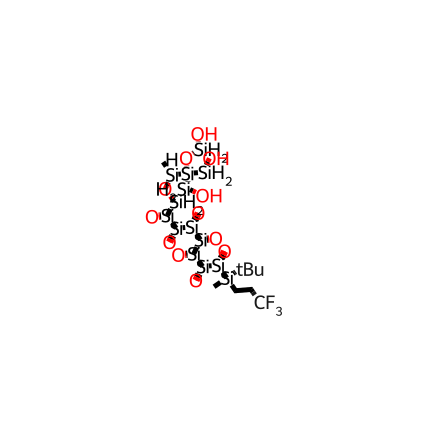 C[SiH](O[SiH2][Si](=O)[Si](=O)[Si](=O)[Si](=O)[Si](=O)[Si](=O)[Si](=O)[Si](C)(CCC(F)(F)F)C(C)(C)C)[Si](O[SiH2]O)([SiH2]O)[SiH2]O